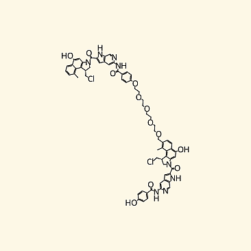 Cc1cccc2c(O)cc3c(c12)[C@H](CCl)CN3C(=O)c1cc2cc(NC(=O)c3ccc(OCCOCCOCCOCCOCc4ccc5c(O)cc6c(c5c4C)[C@H](CCl)CN6C(=O)c4cc5cc(NC(=O)c6ccc(O)cc6)ncc5[nH]4)cc3)ncc2[nH]1